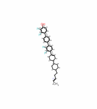 C/C=C/CCC1CCC(C2CC=C(c3ccc(-c4ccc(-c5ccc(O)c(F)c5F)cc4)c(F)c3F)CC2)CC1